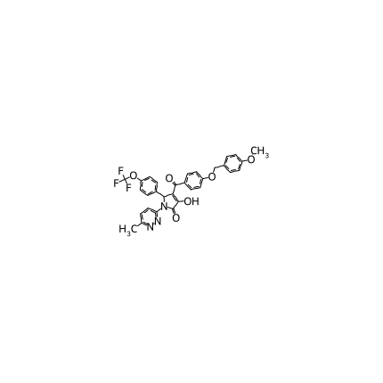 COc1ccc(COc2ccc(C(=O)C3=C(O)C(=O)N(c4ccc(C)nn4)C3c3ccc(OC(F)(F)F)cc3)cc2)cc1